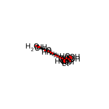 C=CC(=O)NCCCCCCCC(=O)NCCCCCCCCCCCC(=O)N[C@@H](CO[C@H]1OC(CO)[C@H](O)C(O)CC1O)[C@H](O)[C@H](O)CC